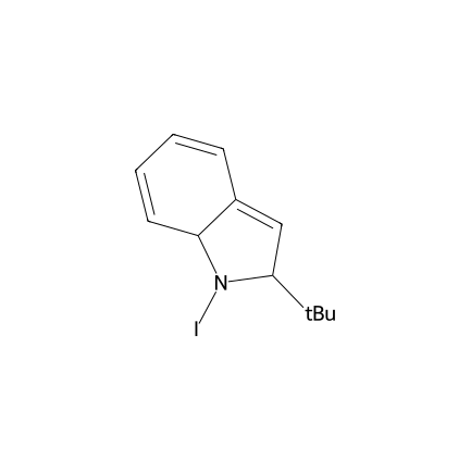 CC(C)(C)C1C=C2C=CC=CC2N1I